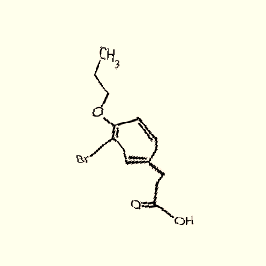 CCCOc1ccc(CC(=O)O)cc1Br